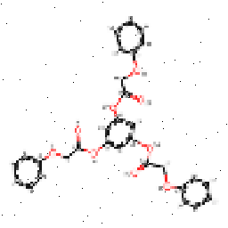 O=C(COc1ccccc1)Oc1cc(OC(=O)COc2ccccc2)cc(OC(=O)COc2ccccc2)c1